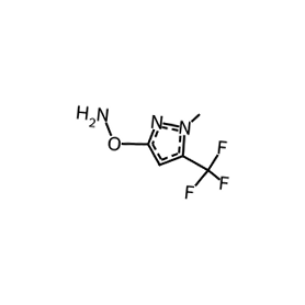 Cn1nc(ON)cc1C(F)(F)F